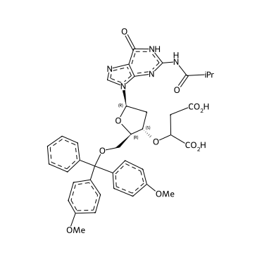 COc1ccc(C(OC[C@H]2O[C@@H](n3cnc4c(=O)[nH]c(NC(=O)C(C)C)nc43)C[C@@H]2OC(CC(=O)O)C(=O)O)(c2ccccc2)c2ccc(OC)cc2)cc1